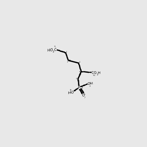 O=C(O)CCCC(CP(=O)(O)O)C(=O)O